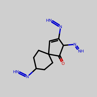 N=NC1=CC2(CCC(N=N)CC2)C(=O)C1N=N